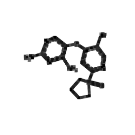 CC(C)c1cnc(P2(=O)CCCC2)cc1Oc1cnc(N)nc1N